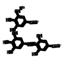 O=C([O-])c1cc(O)c(O)c(O)c1.O=C([O-])c1cc(O)c(O)c(O)c1.O=C([O-])c1cc(O)c(O)c(O)c1.[B+3]